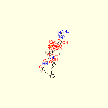 CC(C)(COP(=O)(O)OP(=O)(O)OCC1OC(n2cnc3c(N)ncnc32)C(O)C1OP(=O)(O)O)C(O)C(=O)NCCC(=O)NCCC(=O)C1(CCCCc2ccccc2CCCCCC2(C(=O)O)CC2)CC1